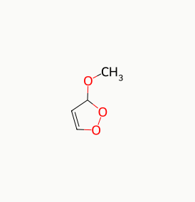 COC1C=COO1